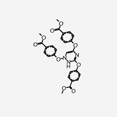 COC(=O)c1ccc(OC2=CN(Oc3ccc(C(=O)OC)cc3)NC(Oc3ccc(C(=O)OC)cc3)=N2)cc1